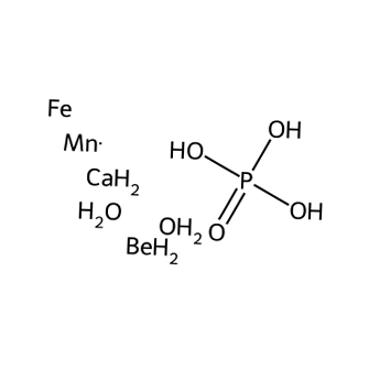 O.O.O=P(O)(O)O.[BeH2].[CaH2].[Fe].[Mn]